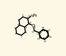 CCCC1CCC2CCCCC2C1OCc1ccccc1